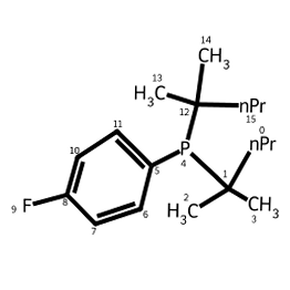 CCCC(C)(C)P(c1ccc(F)cc1)C(C)(C)CCC